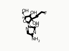 Nc1cnn([C@@H]2O[C@H](CO)C(O)[C@]2(O)C#CCF)c(=O)n1